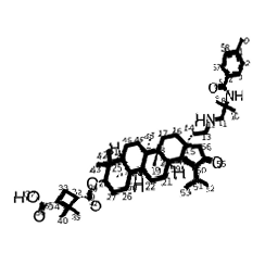 Cc1ccc(C(=O)NC(C)(C)CNCC[C@@]23CC[C@]4(C)[C@H](CC[C@@H]5[C@@]6(C)CC[C@H](OC(=O)[C@H]7C[C@@H](C(=O)O)C7(C)C)C(C)(C)[C@@H]6CC[C@]54C)C2=C(C(C)C)C(=O)C3)cc1